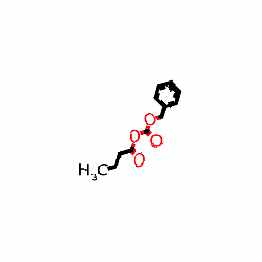 CCCC(=O)OC(=O)OCc1ccccc1